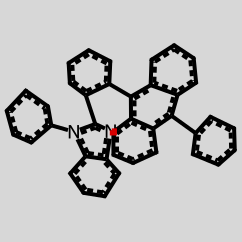 c1ccc(-c2c3ccccc3c(-c3ccccc3-c3nc4ccccc4n3-c3ccccc3)c3ccccc23)cc1